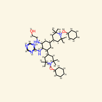 CC1(C)CC(C2CC(NCCO)C(Nc3ncncn3)C(C3CC(C)(C)N(OC4CCCCC4)C(C)(C)C3)C2)CC(C)(C)N1OC1CCCCC1